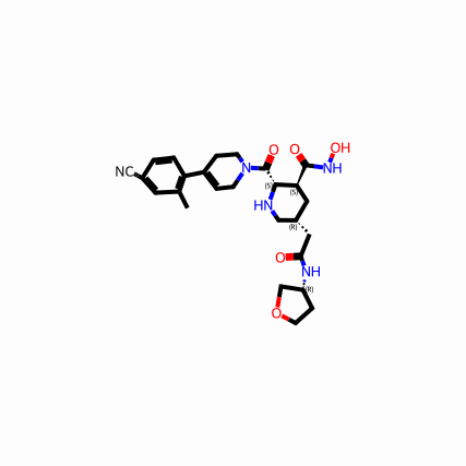 Cc1cc(C#N)ccc1C1=CCN(C(=O)[C@H]2NC[C@@H](CC(=O)N[C@@H]3CCOC3)C[C@@H]2C(=O)NO)CC1